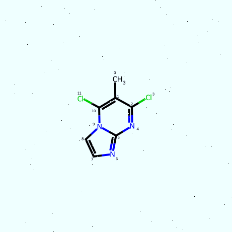 Cc1c(Cl)nc2nccn2c1Cl